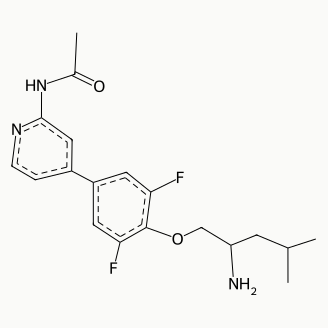 CC(=O)Nc1cc(-c2cc(F)c(OCC(N)CC(C)C)c(F)c2)ccn1